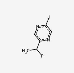 CC(F)c1cnc(I)cn1